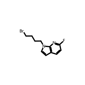 Fc1ccc2ccn(CCCCBr)c2n1